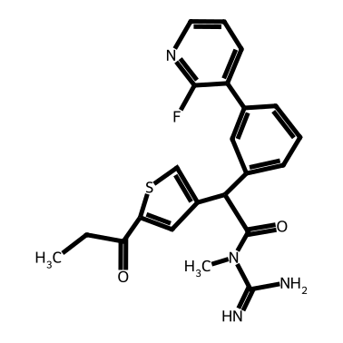 CCC(=O)c1cc(C(C(=O)N(C)C(=N)N)c2cccc(-c3cccnc3F)c2)cs1